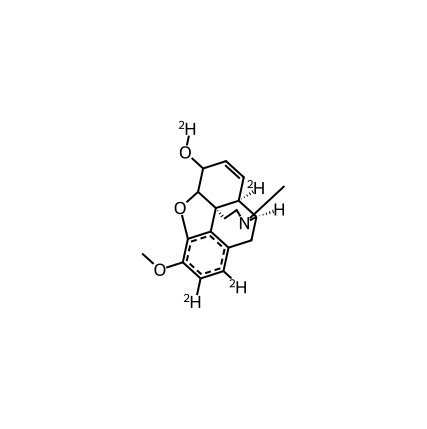 [2H]OC1C=C[C@@]2([2H])[C@H]3Cc4c([2H])c([2H])c(OC)c5c4[C@@]2(CCN3C)C1O5